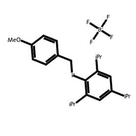 COc1ccc(C[I+]c2c(C(C)C)cc(C(C)C)cc2C(C)C)cc1.F[B-](F)(F)F